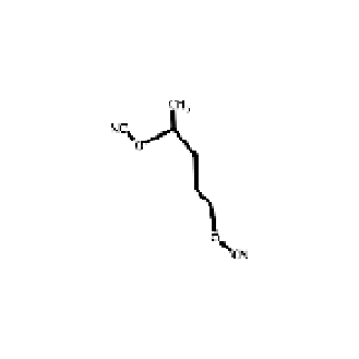 CC(CCCOC#N)OC#N